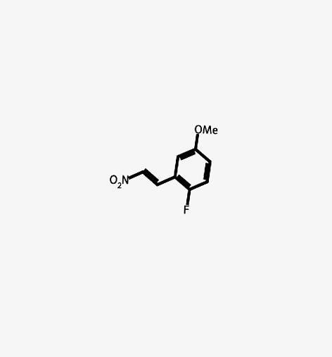 COc1ccc(F)c(C=C[N+](=O)[O-])c1